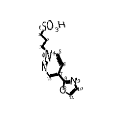 O=S(=O)(O)CCC[n+]1ccc(-c2ncco2)cn1